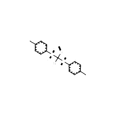 C=NC(N)(S(=O)(=O)c1ccc(C)cc1)S(=O)(=O)c1ccc(C)cc1